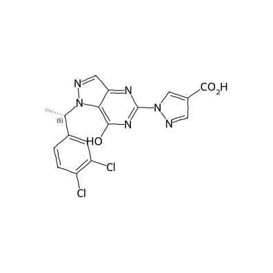 C[C@@H](c1ccc(Cl)c(Cl)c1)n1ncc2nc(-n3cc(C(=O)O)cn3)nc(O)c21